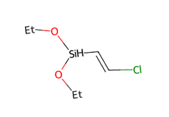 CCO[SiH](C=CCl)OCC